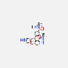 CCNC(=O)c1cccc2c1C(c1ccc(C(=O)N(CC)CC)cc1)=CC1(CCNCC1)O2